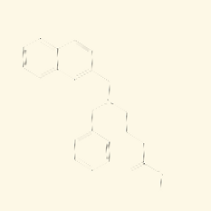 O=C(CCCN(Cc1ccccc1)Cc1ccc2ccccc2c1)NO